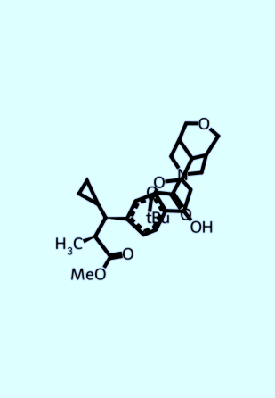 COC(=O)[C@@H](C)[C@H](c1ccc2c(c1)OC(C1C3COCC1CN(C(=O)OC(C)(C)C)C3)CC2O)C1CC1